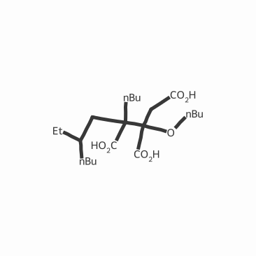 CCCCOC(CC(=O)O)(C(=O)O)C(CCCC)(CC(CC)CCCC)C(=O)O